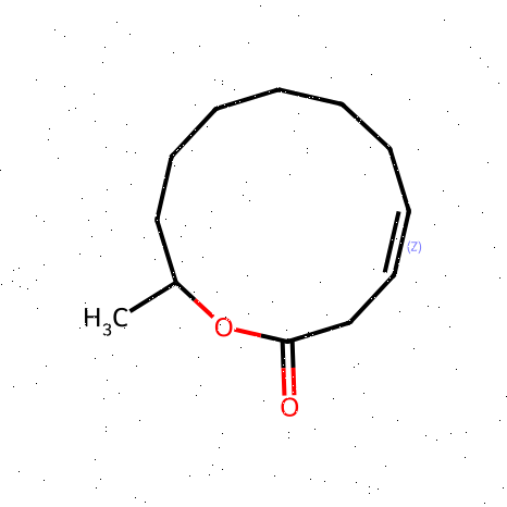 CC1CCCCCC/C=C\CC(=O)O1